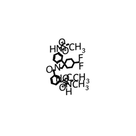 CCS(=O)(=O)Nc1ccc2c(c1)C1(CCC(C(F)F)CC1)CN2C(=O)c1cccc(S(=O)(=O)NC(C)(C)C)c1